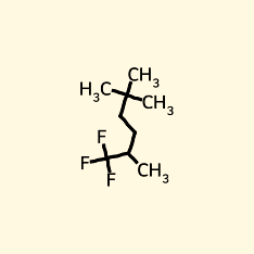 CC(CCC(C)(C)C)C(F)(F)F